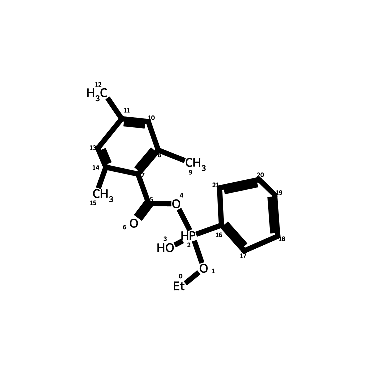 CCO[PH](O)(OC(=O)c1c(C)cc(C)cc1C)c1ccccc1